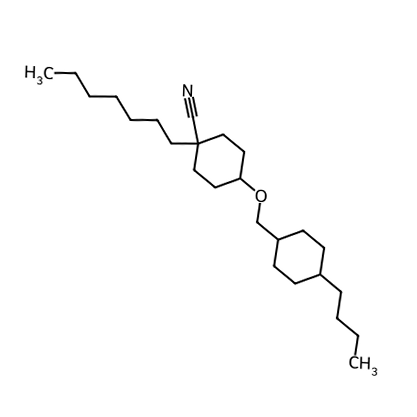 CCCCCCCC1(C#N)CCC(OCC2CCC(CCCC)CC2)CC1